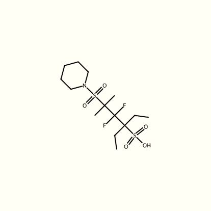 CCC(CC)(C(F)(F)C(C)(C)S(=O)(=O)N1CCCCC1)S(=O)(=O)O